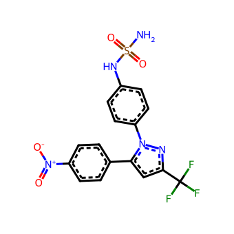 NS(=O)(=O)Nc1ccc(-n2nc(C(F)(F)F)cc2-c2ccc([N+](=O)[O-])cc2)cc1